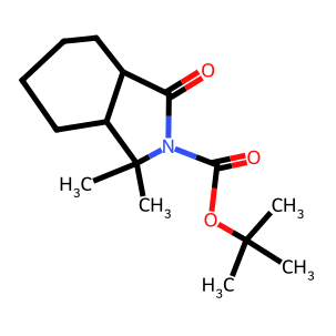 CC(C)(C)OC(=O)N1C(=O)C2CCCCC2C1(C)C